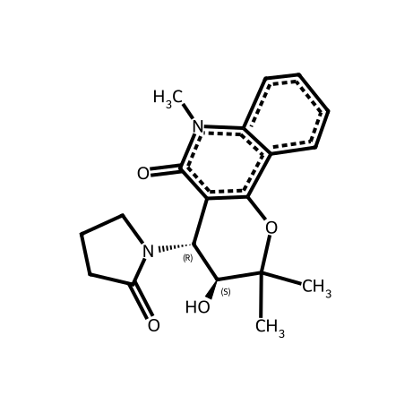 Cn1c(=O)c2c(c3ccccc31)OC(C)(C)[C@@H](O)[C@@H]2N1CCCC1=O